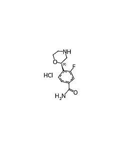 Cl.NC(=O)c1ccc([C@@H]2CNCCO2)c(F)c1